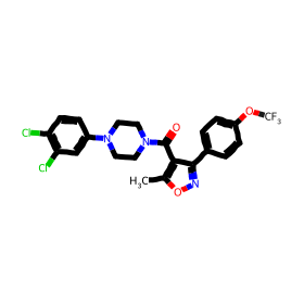 Cc1onc(-c2ccc(OC(F)(F)F)cc2)c1C(=O)N1CCN(c2ccc(Cl)c(Cl)c2)CC1